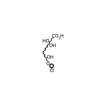 O=C(O)CCC[C@H](O)[C@H](O)/C=C/C=C/C=C\C=C\[C@H](O)CCOc1cccc(Cl)c1